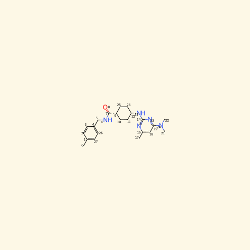 Cc1ccc(CNC(=O)[C@H]2CC[C@@H](Nc3nc(C)cc(N(C)C)n3)CC2)cc1